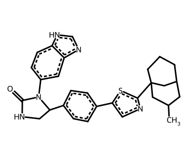 CC1CC2CCCC(c3ncc(-c4ccc(C5CNC(=O)N5c5ccc6[nH]cnc6c5)cc4)s3)(C1)C2